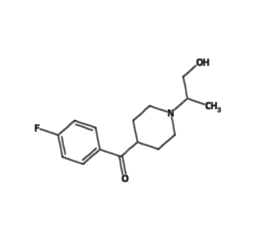 CC(CO)N1CCC(C(=O)c2ccc(F)cc2)CC1